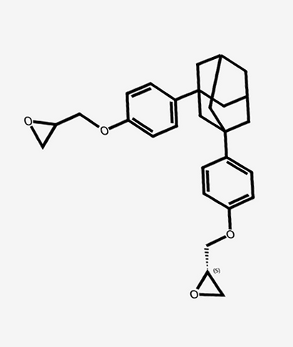 c1cc(C23CC4CC(C2)CC(c2ccc(OC[C@@H]5CO5)cc2)(C4)C3)ccc1OCC1CO1